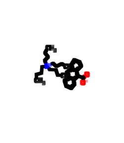 CCCC[N+](CCCC)(CCCC)CCCC.O=C([O-])c1c2ccccc2cc2ccccc12